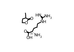 CC1CCOC1=O.N=C(N)NCCC[C@H](N)C(=O)O